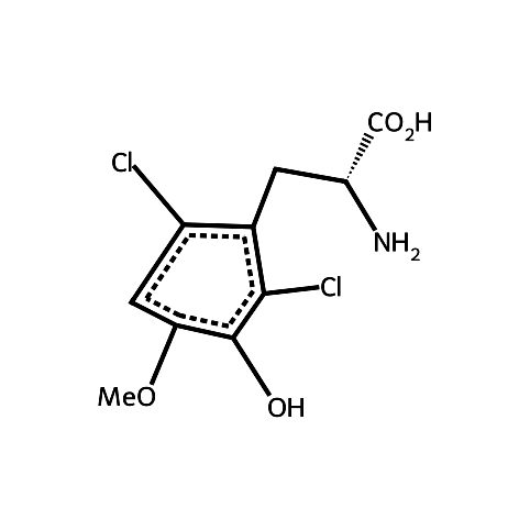 COc1cc(Cl)c(C[C@@H](N)C(=O)O)c(Cl)c1O